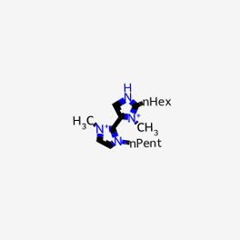 CCCCCCc1[nH]cc(-c2n(CCCCC)cc[n+]2C)[n+]1C